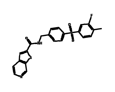 Cc1ccc(S(=O)(=O)c2ccc(CNC(=O)c3cc4ccncc4s3)cc2)cc1F